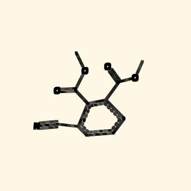 COC(=O)c1cccc(C#N)c1C(=O)OC